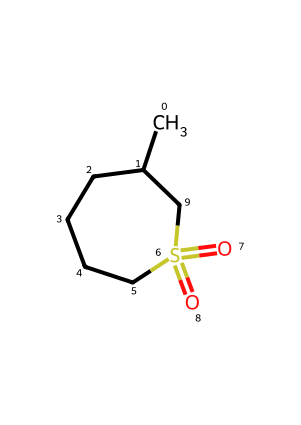 CC1CCCCS(=O)(=O)C1